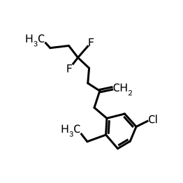 C=C(CCC(F)(F)CCC)Cc1cc(Cl)ccc1CC